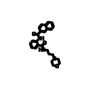 O=C(Nc1ccccc1C(=O)NCCCN1CCOCC1)c1ccc2ccccc2c1